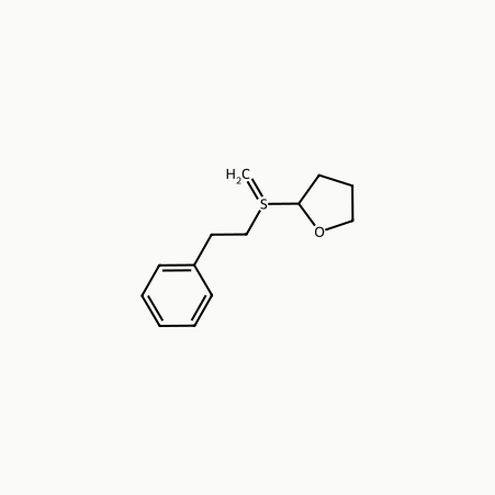 C=S(CCc1ccccc1)C1CCCO1